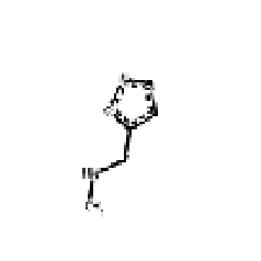 CNCc1ccno1